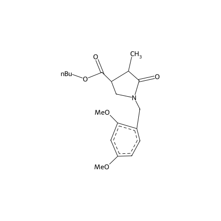 CCCCOC(=O)C1CN(Cc2ccc(OC)cc2OC)C(=O)C1C